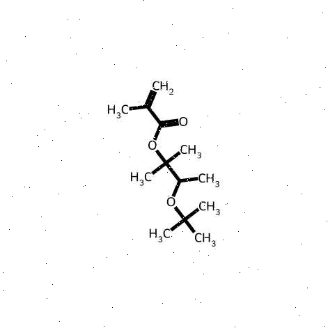 C=C(C)C(=O)OC(C)(C)C(C)OC(C)(C)C